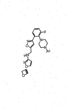 C1#COC1.CC(=O)N1CCN(c2c(F)cccc2-c2cc(CNc3ccon3)on2)CC1